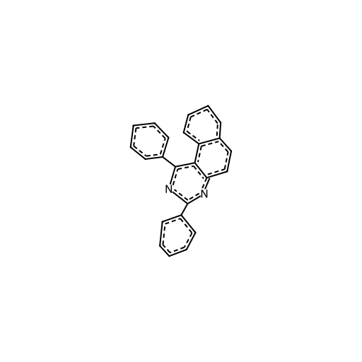 c1ccc(-c2nc(-c3ccccc3)c3c(ccc4ccccc43)n2)cc1